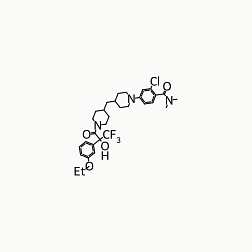 CCOc1cccc(C(O)(C(=O)N2CCC(CC3CCN(c4ccc(C(=O)N(C)C)c(Cl)c4)CC3)CC2)C(F)(F)F)c1